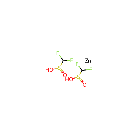 O=S(O)C(F)F.O=S(O)C(F)F.[Zn]